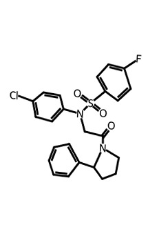 O=C(CN(c1ccc(Cl)cc1)S(=O)(=O)c1ccc(F)cc1)N1CCCC1c1ccccc1